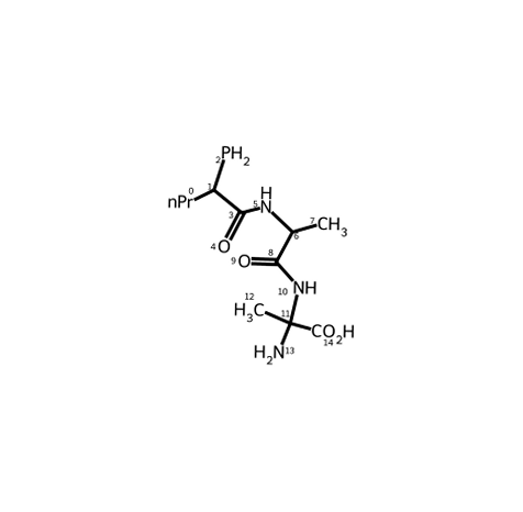 CCCC(P)C(=O)NC(C)C(=O)NC(C)(N)C(=O)O